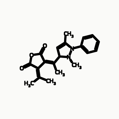 CC1=CC(C(C)=C2C(=O)OC(=O)C2=C(C)C)N(C)N1c1ccccc1